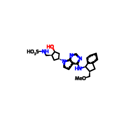 COC[C@@H]1Cc2ccccc2[C@@H]1Nc1ncnc2c1ccn2[C@@H]1C[C@@H](CNS(=O)(=O)O)[C@@H](O)C1